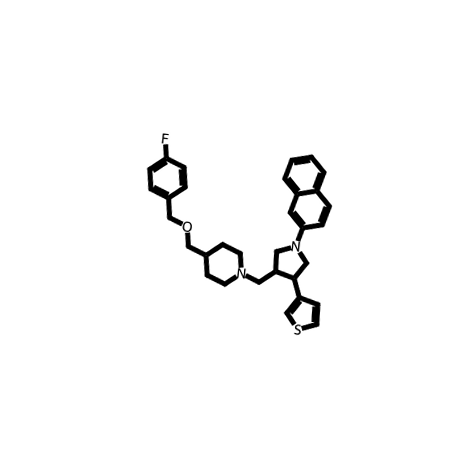 Fc1ccc(COCC2CCN(CC3CN(c4ccc5ccccc5c4)CC3c3ccsc3)CC2)cc1